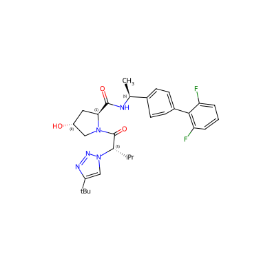 CC(C)[C@@H](C(=O)N1C[C@H](O)C[C@H]1C(=O)N[C@@H](C)c1ccc(-c2c(F)cccc2F)cc1)n1cc(C(C)(C)C)nn1